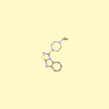 CCCCN1CCN(c2nsc3nc4ccccc4n23)CC1